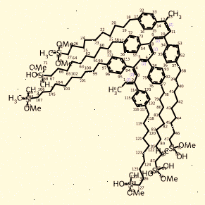 C/C=C(/C=C(/C=C(/C=C(/C=C(/C=C(/C)c1ccc(CCCCCCCCCC[Si](C)(OC)OC)cc1)c1ccc(CCCCCCCCCC[Si](C)(O)OC)cc1)c1ccc(CCCCCCCCCC[Si](C)(O)OC)cc1)c1ccc(CCCCCCCCCC[Si](O)(O)OC)cc1)c1ccc(CCCCCCCCCC[Si](C)(C)OC)cc1)c1ccc(CCCCCCCCCC[Si](C)(O)OC)cc1